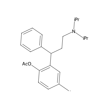 [CH2]c1ccc(OC(C)=O)c(C(CCN(C(C)C)C(C)C)c2ccccc2)c1